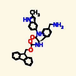 Cc1cc2cc(NC(=O)[C@H](Cc3ccc(CN)cc3)NC(=O)OCC3c4ccccc4-c4ccccc43)ccc2[nH]1